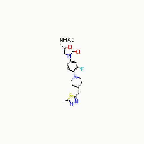 CC(=O)NC[C@H]1CN(c2ccc(N3CCC(Cc4nnc(C)s4)CC3)c(F)c2)C(=O)O1